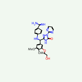 COc1cc(C(Nc2ccc(C(=N)N)cc2)c2nn(-c3ncccn3)c(=O)[nH]2)cc(OCCO)c1OC